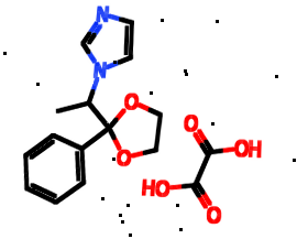 CC(n1ccnc1)C1(c2ccccc2)OCCO1.O=C(O)C(=O)O